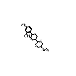 CCCCC1CSC(C2CCC(c3ccc(CC)cc3C)CC2)SC1